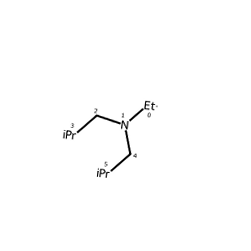 C[CH]N(CC(C)C)CC(C)C